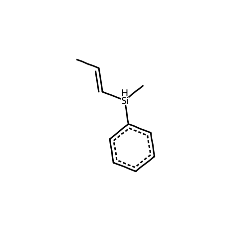 CC=C[SiH](C)c1ccccc1